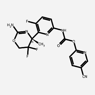 C[C@]1(c2nc(NC(=O)Oc3ccc(C#N)cn3)ccc2F)N=C(N)OCC1(F)F